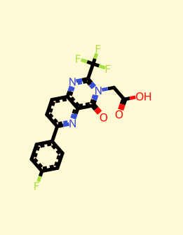 O=C(O)Cn1c(C(F)(F)F)nc2ccc(-c3ccc(F)cc3)nc2c1=O